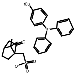 CC(C)(C)c1ccc([S+](c2ccccc2)c2ccccc2)cc1.CC1(C)C2CCC1(CS(=O)(=O)[O-])C(=O)C2